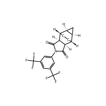 O=C1[C@@H]2[C@@H]3CC[C@@H]([C@H]4C[C@H]43)[C@@H]2C(=O)N1c1cc(C(F)(F)F)cc(C(F)(F)F)c1